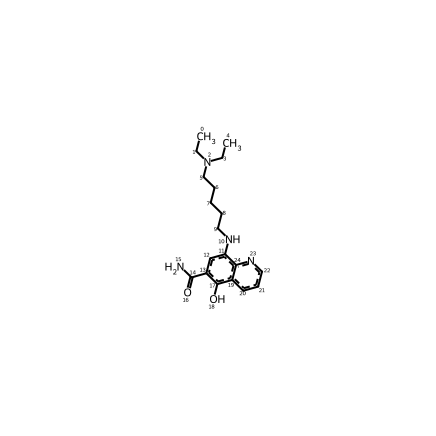 CCN(CC)CCCCCNc1cc(C(N)=O)c(O)c2cccnc12